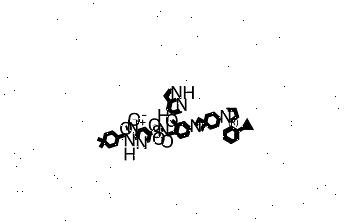 CC1(C)CCC(CNc2ncc(S(=O)(=O)NC(=O)c3ccc(N4CC5(CCC(N6CCC[C@@H]6c6ccccc6C6CC6)CC5)C4)cc3Oc3cnc4[nH]ccc4c3)cc2[N+](=O)[O-])CC1